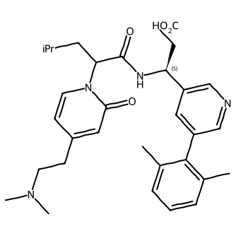 Cc1cccc(C)c1-c1cncc([C@H](CC(=O)O)NC(=O)C(CC(C)C)n2ccc(CCN(C)C)cc2=O)c1